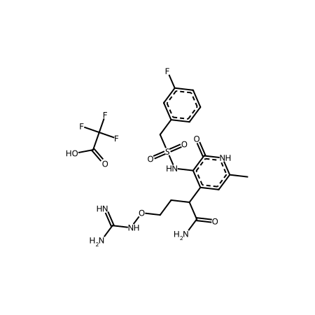 Cc1cc(C(CCONC(=N)N)C(N)=O)c(NS(=O)(=O)Cc2cccc(F)c2)c(=O)[nH]1.O=C(O)C(F)(F)F